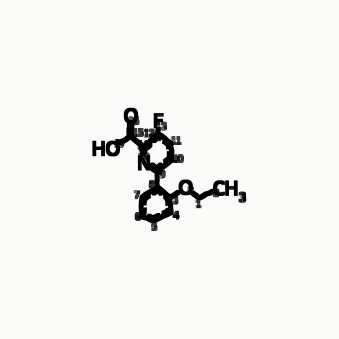 CCOc1ccccc1-c1ccc(F)c(C(=O)O)n1